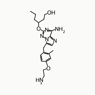 CCCC(CCO)Oc1nc(N)c2ncc(Cc3ccc(OCCNC)cc3C)n2n1